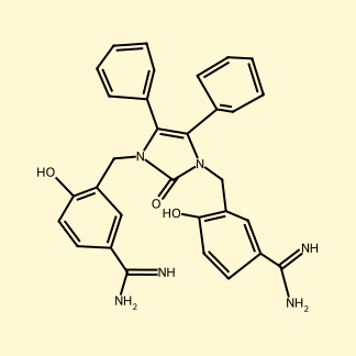 N=C(N)c1ccc(O)c(Cn2c(-c3ccccc3)c(-c3ccccc3)n(Cc3cc(C(=N)N)ccc3O)c2=O)c1